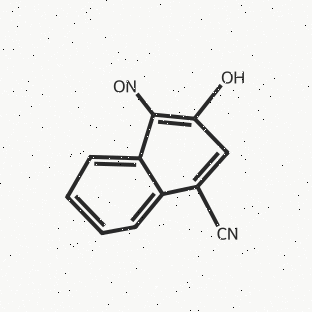 N#Cc1cc(O)c(N=O)c2ccccc12